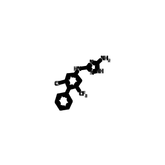 Nc1nc(Nc2cc(Cl)c(-c3ccccc3)c(C(F)(F)F)c2)n[nH]1